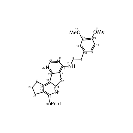 CCCCCc1nc2sc3c(NCCc4ccc(OC)c(OC)c4)ncnc3c2c2c1CCC2